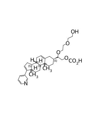 C[C@]12CC[C@H](C(COC(=O)O)OCCOCCO)CC1=CC[C@@H]1[C@@H]2CC[C@]2(C)C(c3cccnc3)=CC[C@@H]12